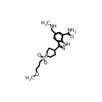 CNCc1cc(C(N)=O)c2[nH]nc(C3CCN(S(=O)(=O)CCCOC)CC3)c2c1